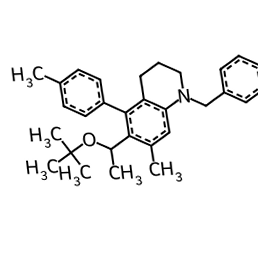 Cc1ccc(-c2c3c(cc(C)c2C(C)OC(C)(C)C)N(Cc2ccccc2)CCC3)cc1